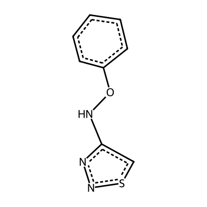 c1ccc(ONc2csnn2)cc1